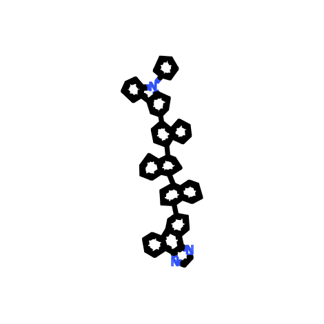 c1ccc(-n2c3ccccc3c3cc(-c4ccc(-c5ccc(-c6ccc(-c7ccc8c(c7)c7ccccc7c7nccnc87)c7ccccc67)c6ccccc56)c5ccccc45)ccc32)cc1